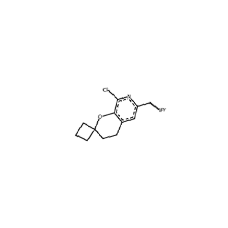 CC(C)Cc1cc2c(c(Cl)n1)OC1(CCC1)CC2